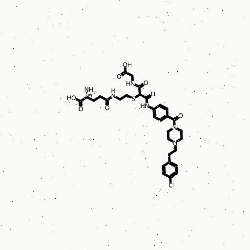 N[C@H](CCC(=O)NCCSC(C(=O)NCC(=O)O)C(=O)Nc1ccc(C(=O)N2CCN(CCc3ccc(Cl)cc3)CC2)cc1)C(=O)O